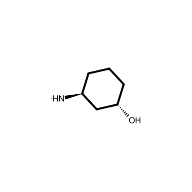 [NH][C@H]1CCC[C@H](O)C1